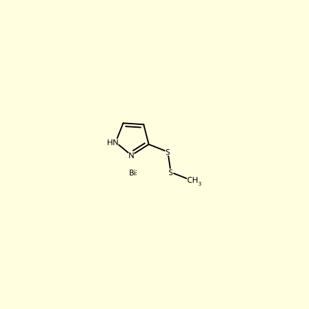 CSSc1cc[nH]n1.[Bi]